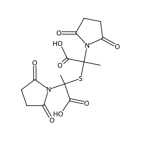 CC(SC(C)(C(=O)O)N1C(=O)CCC1=O)(C(=O)O)N1C(=O)CCC1=O